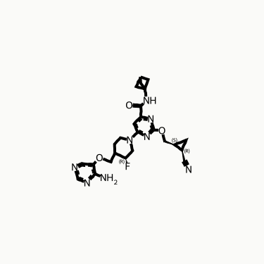 N#C[C@@H]1C[C@@H]1COc1nc(C(=O)NC23CC(C2)C3)cc(N2CCC(COc3cncnc3N)[C@@H](F)C2)n1